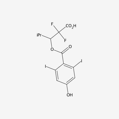 CC(C)C(OC(=O)c1c(I)cc(O)cc1I)C(F)(F)C(=O)O